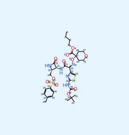 CCCCOC(=O)C1(O/N=C(\C(=O)N[C@@H]2C(=O)N[C@@H]2COS(=O)(=O)c2ccc(C)cc2)c2csc(NC(=O)OC(C)(C)C)n2)CCOCC1